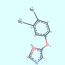 N#Cc1ccc(Oc2cn[c]o2)cc1C#N